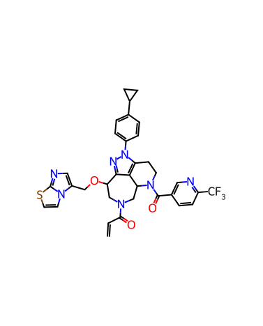 C=CC(=O)N1CC(OCc2cnc3sccn23)c2nn(-c3ccc(C4CC4)cc3)c3c2C(C1)N(C(=O)c1ccc(C(F)(F)F)nc1)CC3